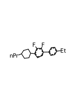 CCCC1CCC(c2ccc(-c3ccc(CC)cc3)c(F)c2F)CC1